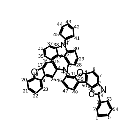 c1ccc(-c2nc3ccc4oc5c(N(c6ccc7oc8ccccc8c7c6)c6cccc7c6c6ccccc6n7-c6ccccc6)cccc5c4c3o2)cc1